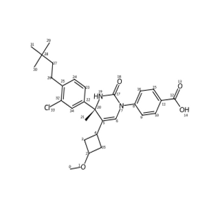 COC1CC(C2=CN(c3ccc(C(=O)O)cc3)C(=O)N[C@@]2(C)c2ccc(CCC(C)(C)C)c(Cl)c2)C1